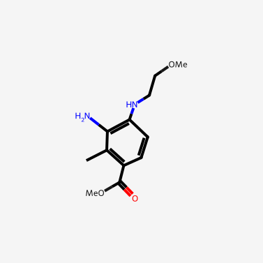 COCCNc1ccc(C(=O)OC)c(C)c1N